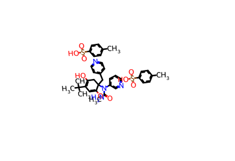 COC1=CC(C(C)(C)C)=C(O)CC1(Cc1ccncc1)N(C(N)=O)c1cccnc1.Cc1ccc(S(=O)(=O)O)cc1.Cc1ccc(S(=O)(=O)O)cc1